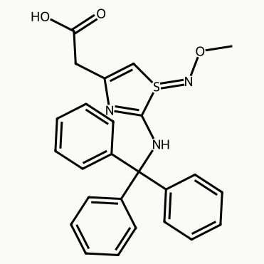 CON=S1C=C(CC(=O)O)N=C1NC(c1ccccc1)(c1ccccc1)c1ccccc1